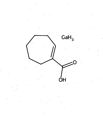 O=C(O)C1=CCCCCC1.[GaH3]